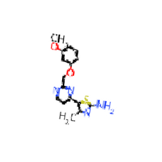 COc1cccc(OCc2nccc(-c3sc(N)nc3C)n2)c1